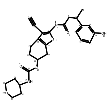 C#Cc1c(NC(=O)CC(C)c2cccc(O)c2)sc2c1CCC(OC(=O)NC1CCOCC1)C2